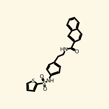 O=C(NCCc1ccc(NS(=O)(=O)c2cccs2)cc1)c1ccc2ccccc2c1